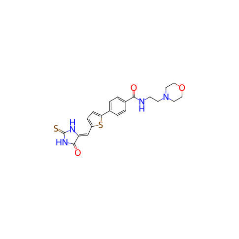 O=C1NC(=S)N/C1=C\c1ccc(-c2ccc(C(=O)NCCN3CCOCC3)cc2)s1